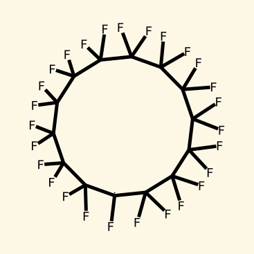 F[C]1C(F)(F)C(F)(F)C(F)(F)C(F)(F)C(F)(F)C(F)(F)C(F)(F)C(F)(F)C(F)(F)C(F)(F)C(F)(F)C(F)(F)C1(F)F